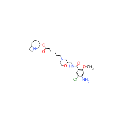 COc1cc(N)c(Cl)cc1C(=O)NC[C@H]1CN(CCCCCC(=O)O[C@@H]2CCCC3CCN3C2)CCO1